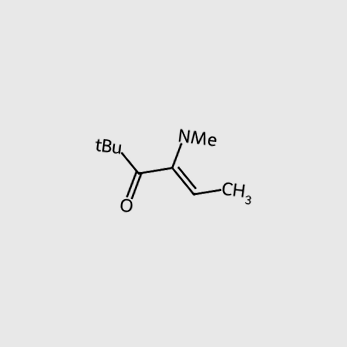 C/C=C(\NC)C(=O)C(C)(C)C